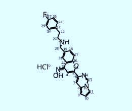 Cl.ON=c1cc(-c2cc3cccn3cn2)oc2ccc(CNCCc3ccc(F)cc3)cc12